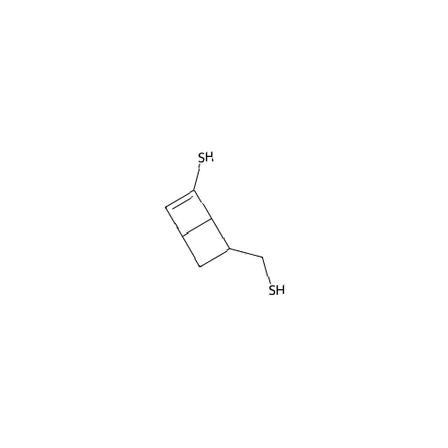 SCC1CC2C=C(S)C21